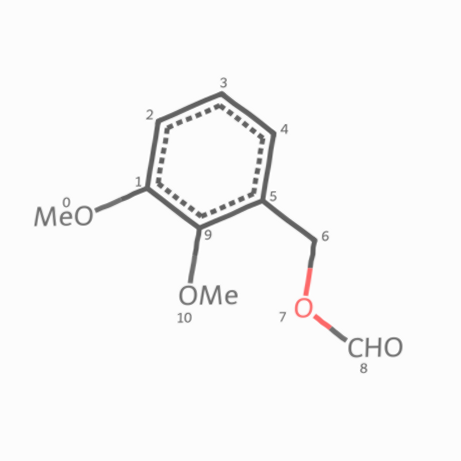 COc1cccc(COC=O)c1OC